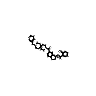 O=C(NC1CCc2ccc(C(=O)N3CCC4(CCN(Cc5cccnc5)CC4)CC3)cc21)c1ccccc1Cl